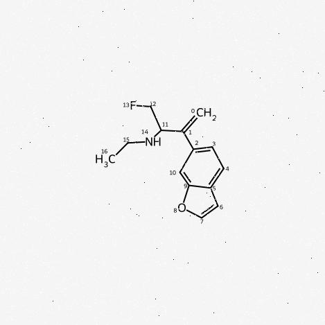 C=C(c1ccc2ccoc2c1)C(CF)NCC